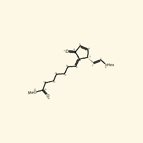 CCCCCC/C=C/[C@H]1C=CC(=O)/C1=C\CCCCCC(=O)OC